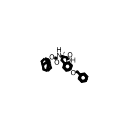 C[C@](Cc1ccc(OCc2ccccc2)cc1)(NC(=O)OC1C2CC3CC(C2)CC1C3)C(=O)O